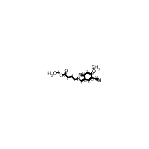 CCOC(=O)CCCn1cc2cc(C#N)c(OC)cc2n1